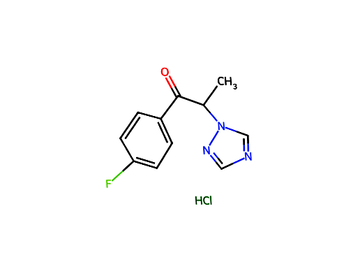 CC(C(=O)c1ccc(F)cc1)n1cncn1.Cl